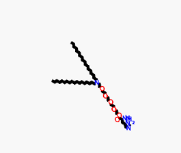 CCCCCCCCCCCCCCCCCCN(CCCCCCCCCCCCCCCCCC)CCOCCOCCOCCOCCOC(=O)C(N)Cc1cnc[nH]1